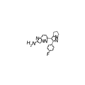 Nc1cn2nc(-c3c(-c4ccc(F)cc4)nn4c3CCC4)ccc2n1